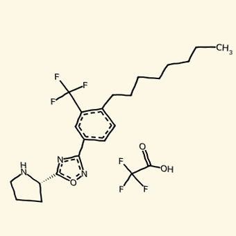 CCCCCCCCc1ccc(-c2noc([C@@H]3CCCN3)n2)cc1C(F)(F)F.O=C(O)C(F)(F)F